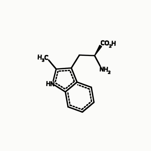 Cc1[nH]c2ccccc2c1C[C@H](N)C(=O)O